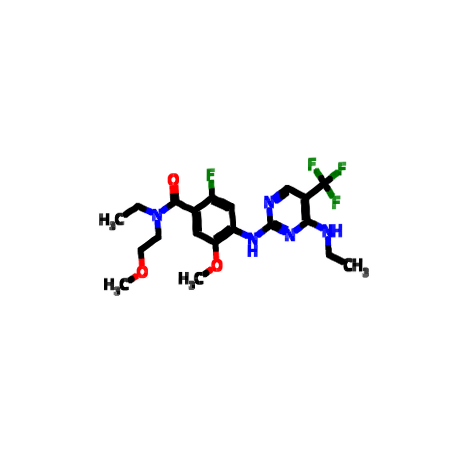 CCNc1nc(Nc2cc(F)c(C(=O)N(CC)CCOC)cc2OC)ncc1C(F)(F)F